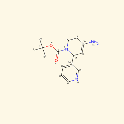 CC(C)(C)OC(=O)N1CCC(N)=CC1c1cccnc1